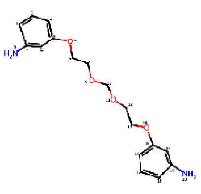 Nc1cccc(OCCOCOCCOc2cccc(N)c2)c1